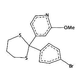 COc1cc(C2(c3ccc(Br)cc3)SCCCS2)ccn1